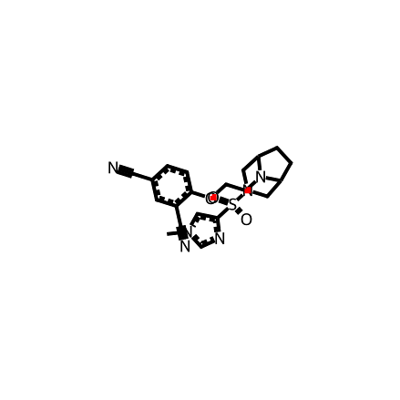 Cn1cnc(S(=O)(=O)N2CC3CCC(C2)N3CCOc2ccc(C#N)cc2C#N)c1